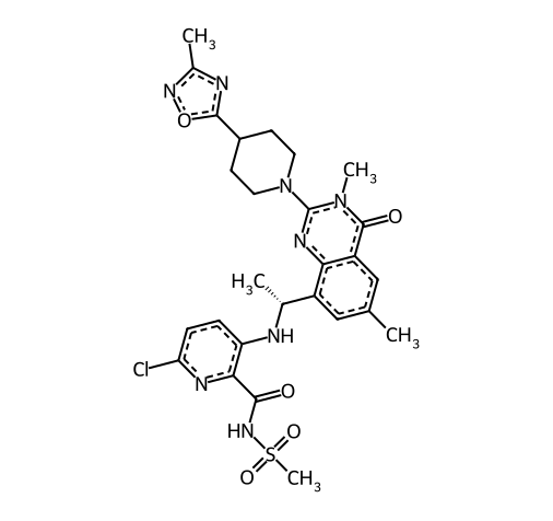 Cc1cc([C@@H](C)Nc2ccc(Cl)nc2C(=O)NS(C)(=O)=O)c2nc(N3CCC(c4nc(C)no4)CC3)n(C)c(=O)c2c1